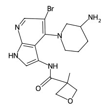 CC1(C(=O)Nc2c[nH]c3ncc(Br)c(N4CCCC(N)C4)c23)COC1